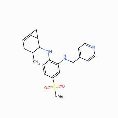 CNS(=O)(=O)c1ccc(NC2C(C)CC=C3CC32)c(NCc2ccncc2)c1